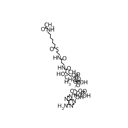 CC(=O)NCCCCCCC(=O)SCCNC(=O)CCNC(=O)[C@H](O)C(C)(C)COP(=O)(O)OP(=O)(O)OC[C@H]1O[C@@H](n2cnc3c(N)ncnc32)[C@H](O)[C@@H]1OP(=O)(O)O